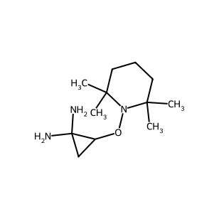 CC1(C)CCCC(C)(C)N1OC1CC1(N)N